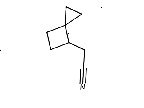 N#CCC1CCC12CC2